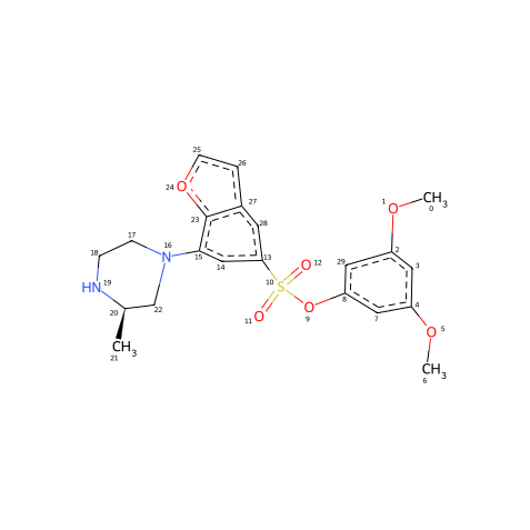 COc1cc(OC)cc(OS(=O)(=O)c2cc(N3CCN[C@H](C)C3)c3occc3c2)c1